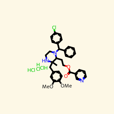 COc1ccc(CC2(C)NCCN(C(c3ccccc3)c3ccc(Cl)cc3)C2CCOC(=O)c2cccnc2)cc1OC.Cl.Cl.Cl